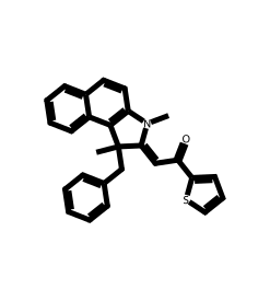 CN1/C(=C\C(=O)c2cccs2)C(C)(Cc2ccccc2)c2c1ccc1ccccc21